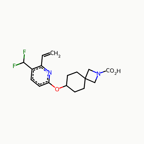 C=Cc1nc(OC2CCC3(CC2)CN(C(=O)O)C3)ccc1C(F)F